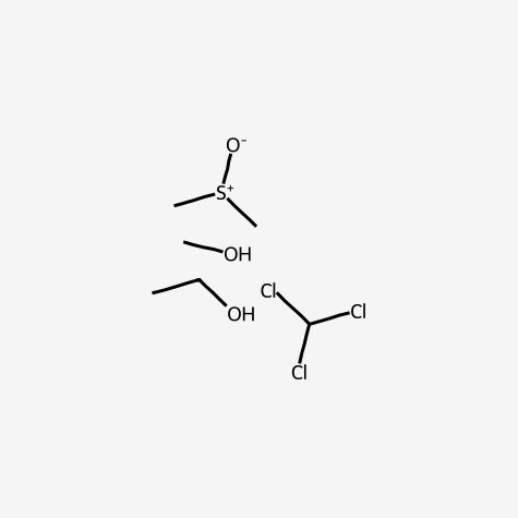 CCO.CO.C[S+](C)[O-].ClC(Cl)Cl